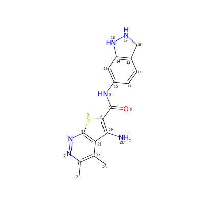 Cc1nnc2sc(C(=O)Nc3ccc4c(c3)NNC4)c(N)c2c1C